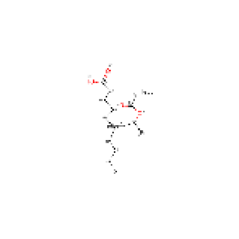 CCCCCCCC(=O)OC(CC)CCCCC.CCCCCCCCCC(=O)O